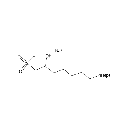 CCCCCCCCCCCCC(O)CS(=O)(=O)[O-].[Na+]